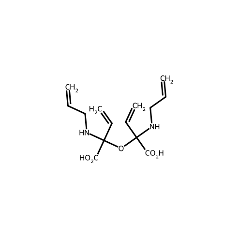 C=CCNC(C=C)(OC(C=C)(NCC=C)C(=O)O)C(=O)O